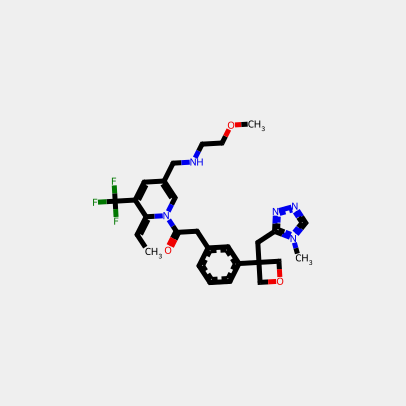 C/C=C1/C(C(F)(F)F)=CC(CNCCOC)=CN1C(=O)Cc1cccc(C2(Cc3nncn3C)COC2)c1